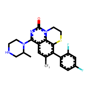 CC1CNCCN1c1nc(=O)n2c3c(c(-c4ccc(F)cc4F)c(C(F)(F)F)cc13)SCC2